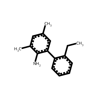 CCc1ccccc1-c1cc(C)cc(C)c1N